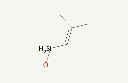 CC(C)=C[SiH2][O]